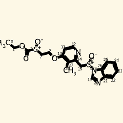 CCOC(=O)[S+]([O-])CCOc1ccnc(C[S+]([O-])n2cnc3ccccc32)c1C